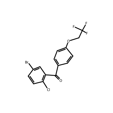 O=C(c1ccc(OCC(F)(F)F)cc1)c1cc(Br)ccc1Cl